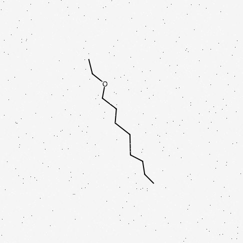 CCCCCCCCOCC